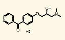 CN(C)CC(O)COc1ccc(C(=O)c2ccccc2)cc1.Cl